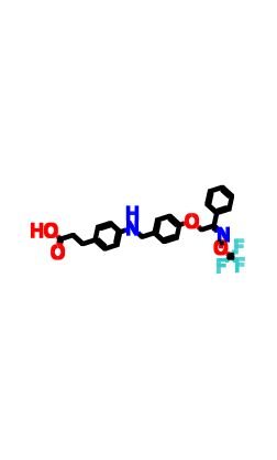 O=C(O)CCc1ccc(NCc2ccc(OC/C(=N\OC(F)(F)F)c3ccccc3)cc2)cc1